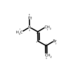 C=C(Br)/C=C(\C)N(C)CC